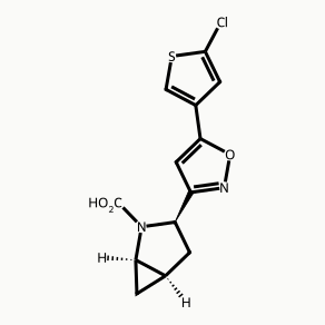 O=C(O)N1[C@@H](c2cc(-c3csc(Cl)c3)on2)C[C@H]2C[C@H]21